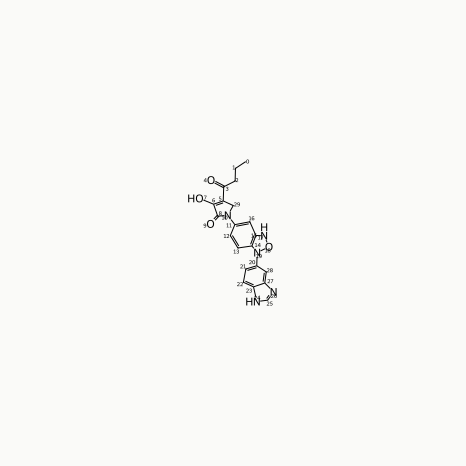 CCCC(=O)C1=C(O)C(=O)N(c2ccc3c(c2)NON3c2ccc3[nH]cnc3c2)C1